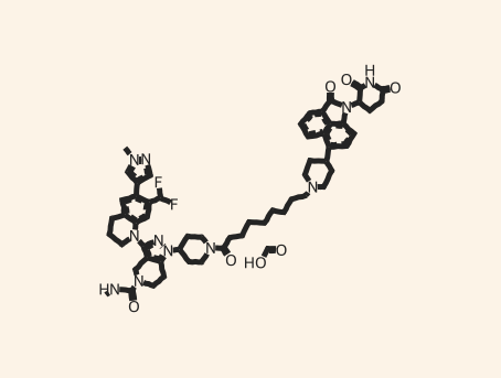 CNC(=O)N1CCc2c(c(N3CCCc4cc(-c5cnn(C)c5)c(C(F)F)cc43)nn2C2CCN(C(=O)CCCCCCCCN3CCC(c4ccc5c6c(cccc46)C(=O)N5C4CCC(=O)NC4=O)CC3)CC2)C1.O=CO